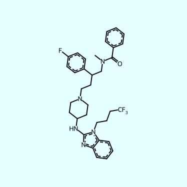 CN(CC(CCN1CCC(Nc2nc3ccccc3n2CCCC(F)(F)F)CC1)c1ccc(F)cc1)C(=O)c1ccccc1